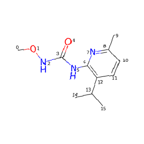 CONC(=O)Nc1nc(C)ccc1C(C)C